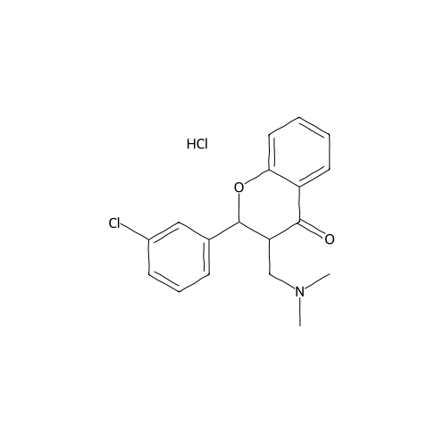 CN(C)CC1C(=O)c2ccccc2OC1c1cccc(Cl)c1.Cl